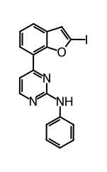 Ic1cc2cccc(-c3ccnc(Nc4ccccc4)n3)c2o1